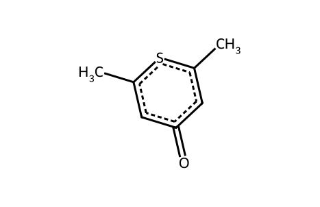 Cc1cc(=O)cc(C)s1